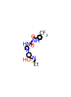 CCc1cnc(C2(O)CCC(N3CC[C@@H](NC(=O)CNC(=O)c4cccc(C(F)(F)F)c4)C3)CC2)s1